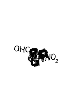 O=Cc1cccc(S(=O)(=O)N2CCCCC2)c1.O=[N+]([O-])c1ccccc1[N+](=O)[O-]